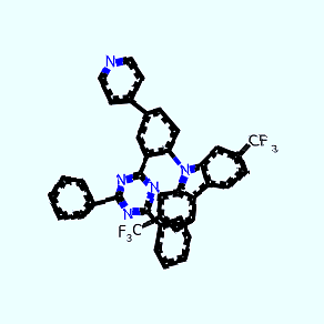 FC(F)(F)c1ccc2c3ccc(C(F)(F)F)cc3n(-c3ccc(-c4ccncc4)cc3-c3nc(-c4ccccc4)nc(-c4ccccc4)n3)c2c1